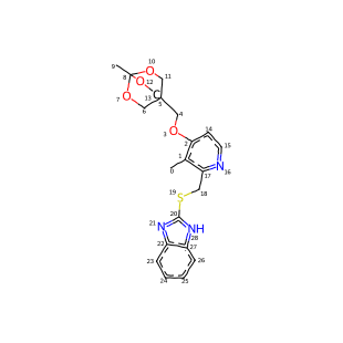 Cc1c(OCC23COC(C)(OC2)OC3)ccnc1CSc1nc2ccccc2[nH]1